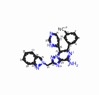 N#Cc1cccc(-c2nc(N)c3nc(Cn4cc5ccccc5n4)nn3c2-c2ccncn2)c1